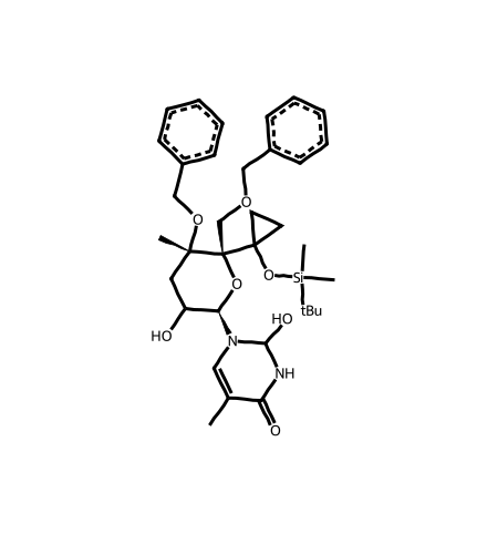 CC1=CN([C@@H]2O[C@@](COCc3ccccc3)(C3(O[Si](C)(C)C(C)(C)C)CC3)[C@@](C)(OCc3ccccc3)CC2O)C(O)NC1=O